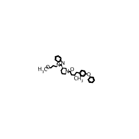 COCCCn1c([C@@H]2CCCN(C(=O)C[C@H](C)Cc3ccc(Oc4ccccc4)cc3)C2)nc2ccccc21